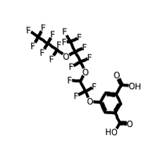 O=C(O)c1cc(OC(F)(F)C(F)OC(F)(F)C(F)(OC(F)(F)C(F)(F)C(F)(F)F)C(F)(F)F)cc(C(=O)O)c1